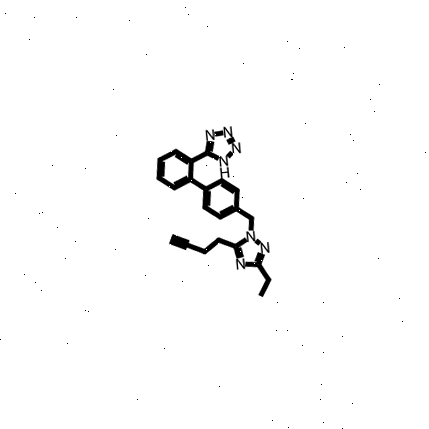 C#CCCc1nc(CC)nn1Cc1ccc(-c2ccccc2-c2nnn[nH]2)cc1